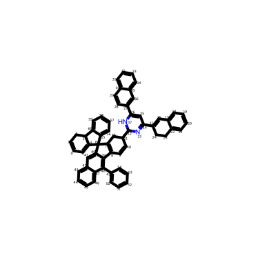 C1=CCC2C(=C1)C1(C3=C(C=CC(C4N=C(C5=Cc6ccccc6CC5)C=C(c5ccc6ccccc6c5)N4)C3)c3c1cc1ccccc1c3-c1ccccc1)c1ccccc12